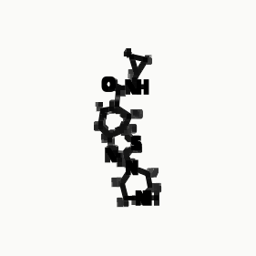 O=C(NC1CC1)c1ccc2nc(N3CCNCC3)sc2c1